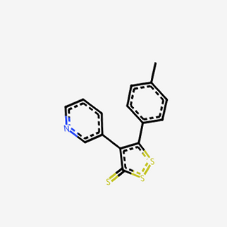 Cc1ccc(-c2ssc(=S)c2-c2cccnc2)cc1